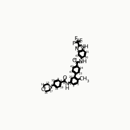 Cc1ccc(NC(=O)c2ccc(N3CCOCC3)cc2)cc1-c1ccc(C(=O)Nc2ccc3[nH]c(C(F)(F)F)nc3c2)cc1